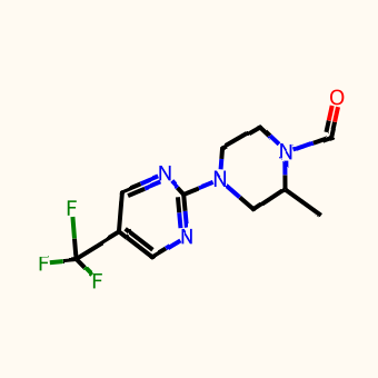 CC1CN(c2ncc(C(F)(F)F)cn2)CCN1C=O